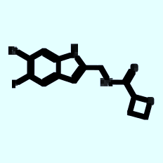 CCc1cc2[nH]c(CNC(=O)C3CCO3)cc2cc1F